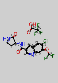 O=C(N[C@H]1CCNC1=O)c1cnc2cc(OC(F)F)c(Cl)cc2c1.O=C(O)C(F)(F)F